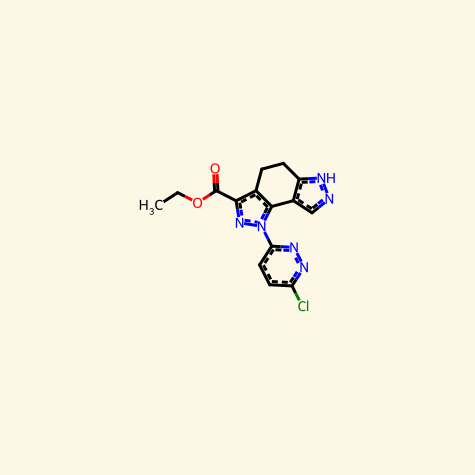 CCOC(=O)c1nn(-c2ccc(Cl)nn2)c2c1CCc1[nH]ncc1-2